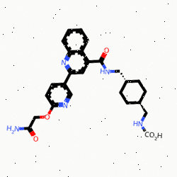 NC(=O)COc1ccc(-c2cc(C(=O)NC[C@H]3CC[C@H](CNC(=O)O)CC3)c3ccccc3n2)cn1